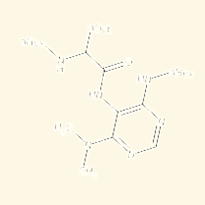 CCCCCCCCC(NCCCCCC)C(=O)Nc1c(NCCCCCC)ncnc1N(C)C